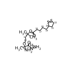 CC(C)(CCOC(C)(N)C(=O)NN)OC(=O)CCCCC1CCSS1